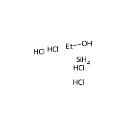 CCO.Cl.Cl.Cl.Cl.[SiH4]